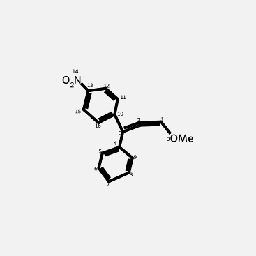 COC=C=C(c1ccccc1)c1ccc([N+](=O)[O-])cc1